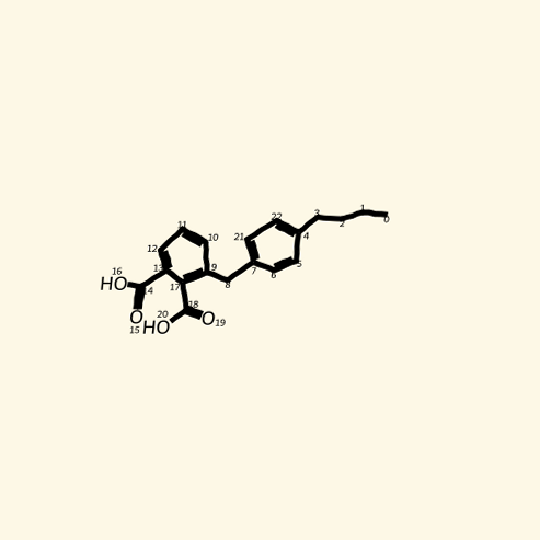 CCCCc1ccc(Cc2cccc(C(=O)O)c2C(=O)O)cc1